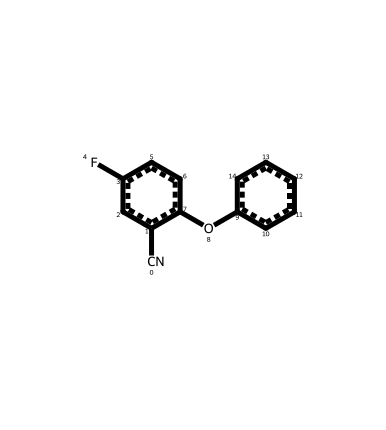 N#Cc1cc(F)ccc1Oc1ccccc1